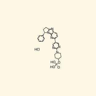 Cl.O=P(O)(O)OC1CCN(c2ncc(-c3ccc4nc5n(c4n3)[C@@H](c3ccccc3)CC5)cn2)CC1